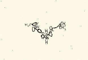 Cc1ccnc(NC(=O)c2ccc(Oc3ccnc4[nH]nc(N[C@@H]5CCCN(C(=O)CCCCN(C)C)C5)c34)cc2)c1